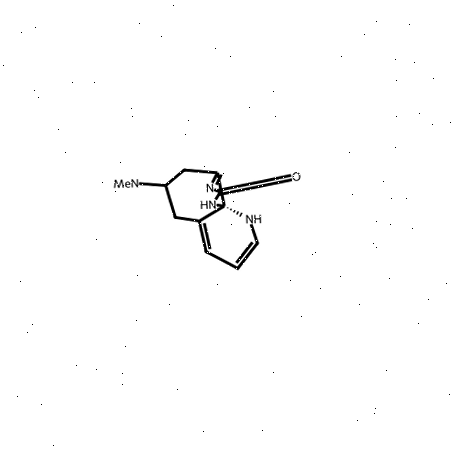 CNC1CC2=CC=CN[C@@]23NC(=O)N=C3C1